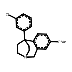 COc1ccc2c(c1)CN1CCC2(c2cccc(Cl)c2)CC1